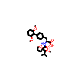 COc1cccc(OC)c1-c1ccc(C[C@H](NC(=O)C2(C(OC)C(C)C)CCCO2)C(=O)O)cc1